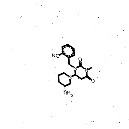 CN1C(=O)CC(N2CCC[C@@H](N)C2)N(Cc2ccccc2C#N)C1=O